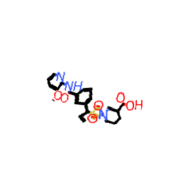 C=CC(c1cccc(C(=O)Nc2ncccc2OC)c1)S(=O)(=O)N1CCCC(C(=O)O)C1